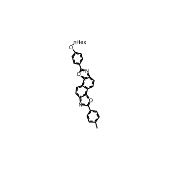 CCCCCCOc1ccc(-c2nc3ccc4c(ccc5nc(-c6ccc(C)cc6)oc54)c3o2)cc1